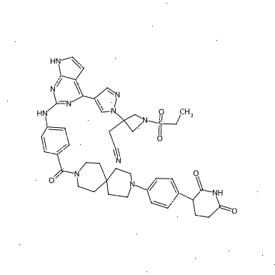 CCS(=O)(=O)N1CC(CC#N)(n2cc(-c3nc(Nc4ccc(C(=O)N5CCC6(CC5)CCN(c5ccc(C7CCC(=O)NC7=O)cc5)CC6)cc4)nc4[nH]ccc34)cn2)C1